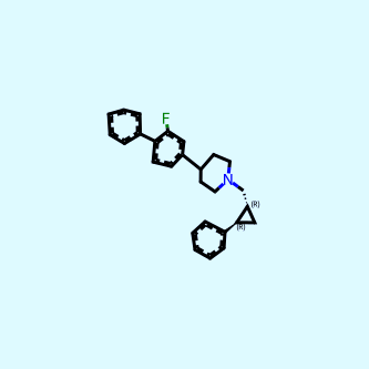 Fc1cc(C2CCN(C[C@@H]3C[C@H]3c3ccccc3)CC2)ccc1-c1ccccc1